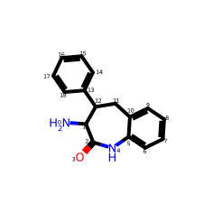 NC1C(=O)Nc2ccccc2CC1c1ccccc1